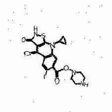 O=C(ON1CCNCC1)c1cc2c(cc1F)c(=O)c1c(=O)[nH]sc1n2C1CC1